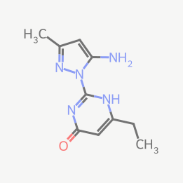 CCc1cc(=O)nc(-n2nc(C)cc2N)[nH]1